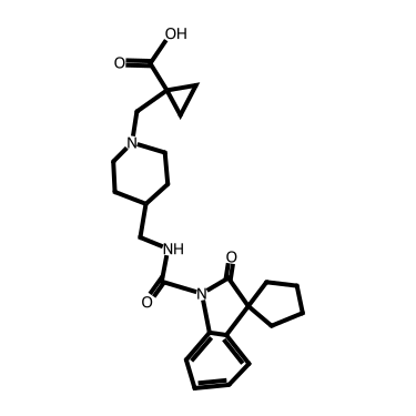 O=C(NCC1CCN(CC2(C(=O)O)CC2)CC1)N1C(=O)C2(CCCC2)c2ccccc21